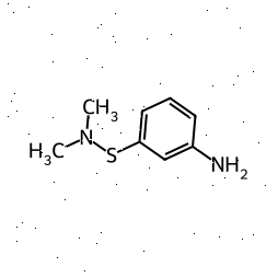 CN(C)Sc1cccc(N)c1